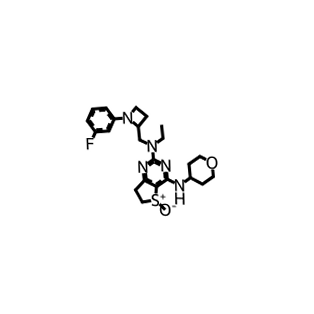 CCN(CC1CCN1c1cccc(F)c1)c1nc2c(c(NC3CCOCC3)n1)[S+]([O-])CC2